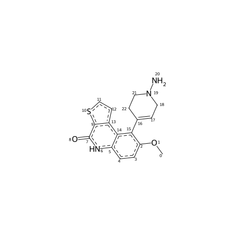 COc1ccc2[nH]c(=O)c3sccc3c2c1C1=CCN(N)CC1